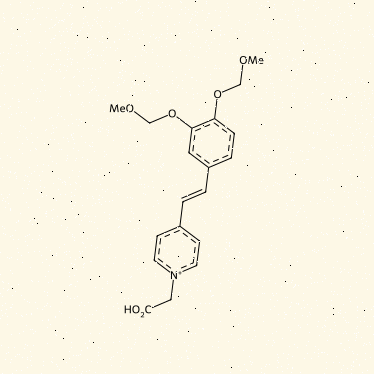 COCOc1ccc(C=Cc2cc[n+](CC(=O)O)cc2)cc1OCOC